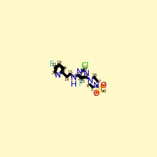 CS(=O)(=O)N1CCN(c2nc(Cl)nc(NCCc3ccc(F)cn3)c2F)CC1